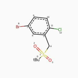 CC(C)(C)S(=O)(=O)Cc1cc(Br)ccc1Cl